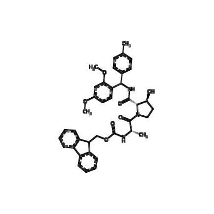 COc1ccc(C(NC(=O)[C@@H]2[C@@H](O)CCN2C(=O)[C@H](C)NC(=O)OCC2c3ccccc3-c3ccccc32)c2ccc(C)cc2)c(OC)c1